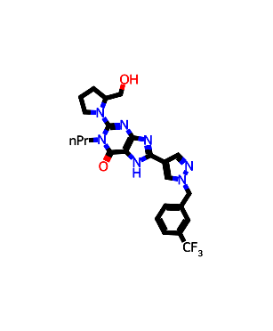 CCCn1c(N2CCCC2CO)nc2nc(-c3cnn(Cc4cccc(C(F)(F)F)c4)c3)[nH]c2c1=O